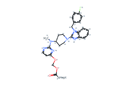 CCCCCCCC(=O)OCOc1ccnc(N(C)C2CCN(c3nc4ccccc4n3Cc3ccc(F)cc3)CC2)n1